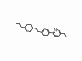 CCC[C@H]1CC[C@H](CCc2ccc(-c3ccc(CC)cn3)cc2)CC1